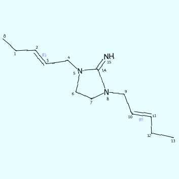 CC/C=C/CN1CCN(C/C=C/CC)C1=N